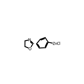 [C]1=NCCO1.[Cl][Zn][c]1ccccc1